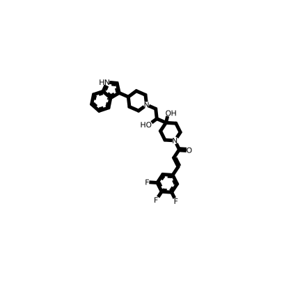 O=C(C=Cc1cc(F)c(F)c(F)c1)N1CCC(O)(C(O)CN2CCC(c3c[nH]c4ccccc34)CC2)CC1